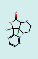 O=C1OC(Cl)(c2ccccc2)C2(Cl)CCCCC12